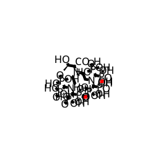 C[C@@H](O)[C@@H](C(=O)O)N(CCN(C(P(=O)(O)O)P(=O)(O)O)C(P(=O)(O)O)P(=O)(O)O)CCN(C(P(=O)(O)O)P(=O)(O)O)C(P(=O)(O)O)P(=O)(O)O